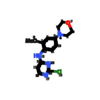 COc1cc(N2CCOCC2)ccc1Nc1ccnc(Cl)n1